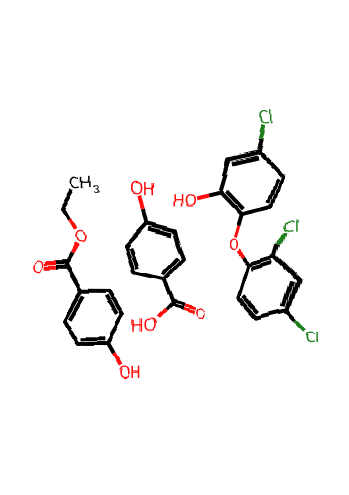 CCOC(=O)c1ccc(O)cc1.O=C(O)c1ccc(O)cc1.Oc1cc(Cl)ccc1Oc1ccc(Cl)cc1Cl